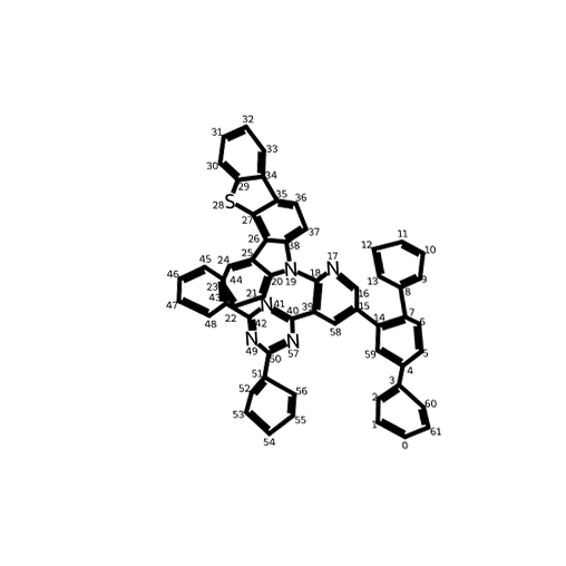 c1ccc(-c2ccc(-c3ccccc3)c(-c3cnc(-n4c5ccccc5c5c6sc7ccccc7c6ccc54)c(-c4nc(-c5ccccc5)nc(-c5ccccc5)n4)c3)c2)cc1